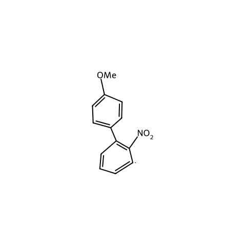 COc1ccc(-c2ccc[c]c2[N+](=O)[O-])cc1